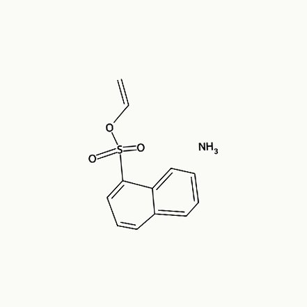 C=COS(=O)(=O)c1cccc2ccccc12.N